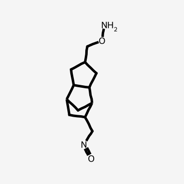 NOCC1CC2C3CC(CN=O)C(C3)C2C1